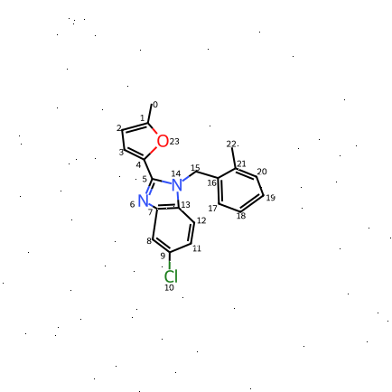 Cc1ccc(-c2nc3cc(Cl)ccc3n2Cc2ccccc2C)o1